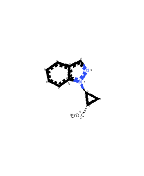 CCOC(=O)[C@H]1C[C@@H]1n1ncc2ccccc21